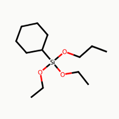 CCCO[Si](OCC)(OCC)C1CCCCC1